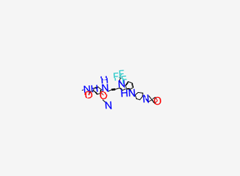 CNC(=O)c1ccc(NCC#Cc2cc3c(N[C@H]4CC[C@H](N5CC6(COC6)C5)CC4)cccc3n2CC(F)(F)F)c(OCC#N)c1